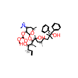 C=C[C@H](C)[C@@H](O)[C@H](C)[C@@H](OC1O[C@H](C)C[C@H](N(C)C)[C@H]1OC(=O)OC)[C@](C)(O)C[C@@H](C)CCC(C)(C)[Si](O)(c1ccccc1)c1ccccc1